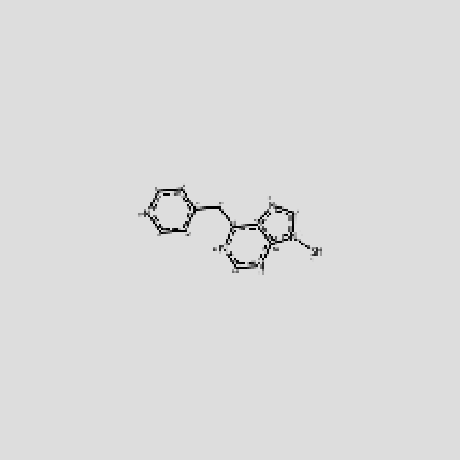 Sn1cnc2c(Cc3ccncc3)ncnc21